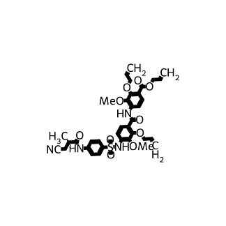 C=CCOC(=O)c1ccc(NC(=O)c2ccc(NS(=O)(=O)c3ccc(NC(=O)[C@@H](C)CC#N)cc3)c(OC)c2OCC=C)c(OC)c1OCC=C